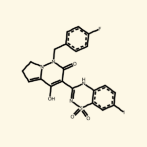 O=C1C(C2=NS(=O)(=O)c3cc(I)ccc3N2)=C(O)C2=CCCN2N1Cc1ccc(F)cc1